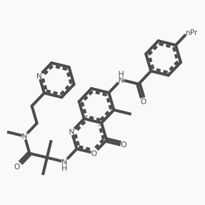 CCCc1ccc(C(=O)Nc2ccc3nc(NC(C)(C)C(=O)N(C)CCc4ccccn4)oc(=O)c3c2C)cc1